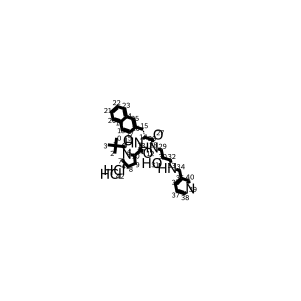 CC(C)(C)C(=O)N1CCCC1C(=O)N[C@H](Cc1ccc2ccccc2c1)C(=O)NCC(O)CNCc1cccnc1.Cl.Cl